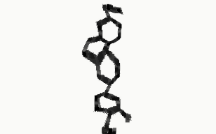 CCCCCCC1CCc2c(ccc3cc(-c4ccc(C#N)c(F)c4)ccc23)C1